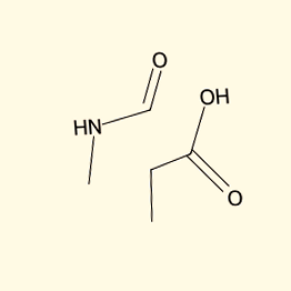 CCC(=O)O.CNC=O